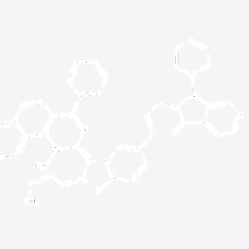 C\C=C/C=c1/oc2ccc(-c3ccc4c(c3)c3ccccc3n4-c3ccccc3)cc2/c1=C1\N=C(c2ccccc2)c2ccc3ccccc3c2N1C